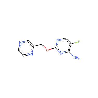 Nc1nc(OCc2cnccn2)ncc1F